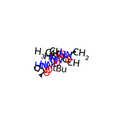 C#CCC(NC(=O)[C@@H]1[C@@H]2[C@H](CN1C(=O)[C@@H](NC(=O)N[C@H](C(=O)C1CC1)C1CCCCC1)C(C)(C)C)C2(C)C)C(=O)C(=O)NCC=C